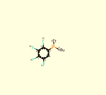 CCCCP(CC)c1cc(F)c(F)c(F)c1F